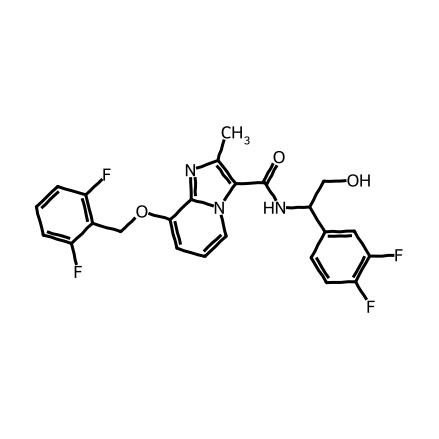 Cc1nc2c(OCc3c(F)cccc3F)cccn2c1C(=O)NC(CO)c1ccc(F)c(F)c1